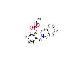 CCO[PH](=O)CCN(Cc1ccccc1)Cc1ccccc1